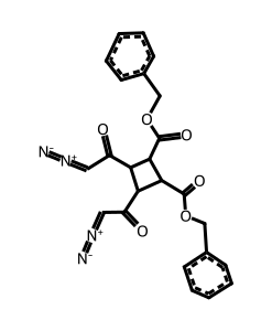 [N-]=[N+]=CC(=O)C1C(C(=O)C=[N+]=[N-])C(C(=O)OCc2ccccc2)C1C(=O)OCc1ccccc1